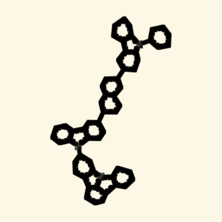 c1ccc(-n2c3ccccc3c3cc(-c4ccc5cc(-c6ccc7c(c6)c6ccccc6n7-c6ccc7c8cccc9c%10ccccc%10n(c7c6)c98)ccc5c4)ccc32)cc1